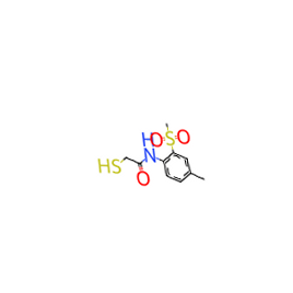 Cc1ccc(NC(=O)CS)c(S(C)(=O)=O)c1